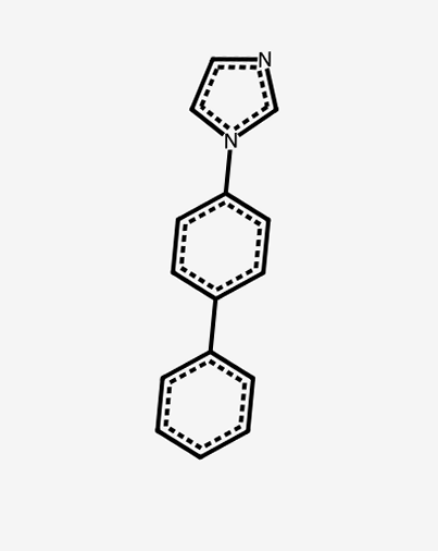 c1ccc(-c2ccc(-n3ccnc3)cc2)cc1